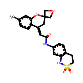 O=C(/C=C1\CC2(COC2)Oc2cc(C(F)(F)F)ccc21)Nc1ccc2c(c1)NS(=O)(=O)CC2